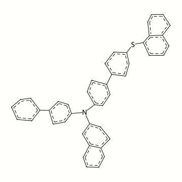 c1ccc(-c2ccc(N(c3ccc(-c4ccc(Sc5cccc6ccccc56)cc4)cc3)c3ccc4ccccc4c3)cc2)cc1